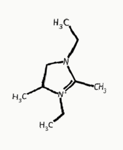 CCN1CC(C)[N+](CC)=C1C